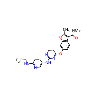 CNC(=O)c1c(C)oc2cc(Oc3ccnc(Nc4ccc(NCC(F)(F)F)nc4)n3)ccc12